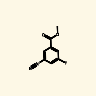 COC(=O)c1cc(F)cc([N+]#N)c1